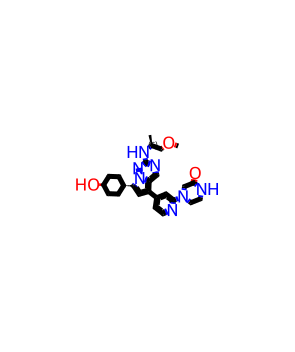 COC[C@H](C)Nc1ncc2c(-c3ccnc(N4CCNC(=O)C4)c3)cc([C@H]3CC[C@H](O)CC3)n2n1